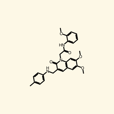 COc1ccccc1NC(=O)Cn1c(=O)c(CNc2ccc(C)cc2)cc2cc(OC)c(OC)cc21